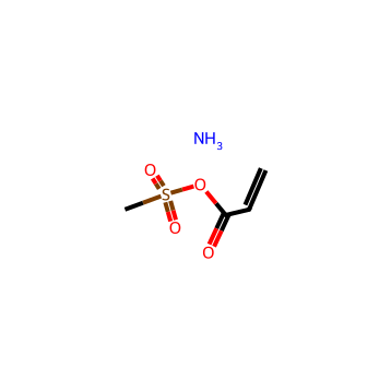 C=CC(=O)OS(C)(=O)=O.N